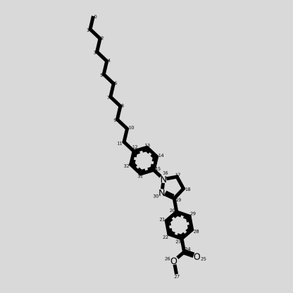 CCCCCCCCCCCCc1ccc(N2CCC(c3ccc(C(=O)OC)cc3)=N2)cc1